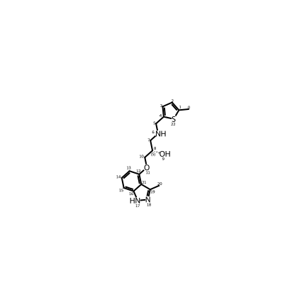 Cc1ccc(CNC[C@H](O)COc2cccc3[nH]nc(C)c23)s1